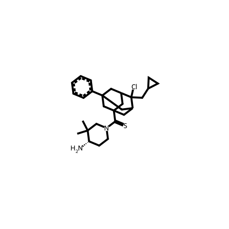 CC1(C)CN(C(=S)C23CC4CC(c5ccccc5)(CC(C2)C4(Cl)CC2CC2)C3)CC[C@@H]1N